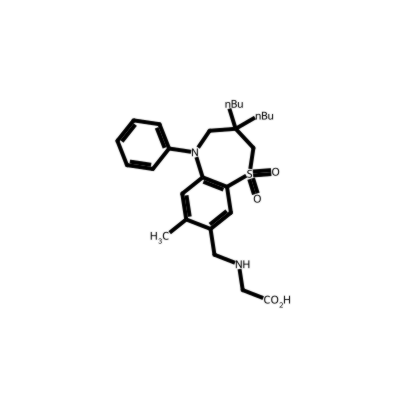 CCCCC1(CCCC)CN(c2ccccc2)c2cc(C)c(CNCC(=O)O)cc2S(=O)(=O)C1